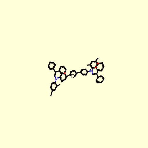 Cc1ccc(N(C=C(c2ccccc2)c2ccccc2)c2ccc(-c3ccc(-c4ccc(N(/C=C(/c5c#cccc5)c5ccccc5)c5ccc(C)cc5C)cc4)cc3)cc2)c(C)c1